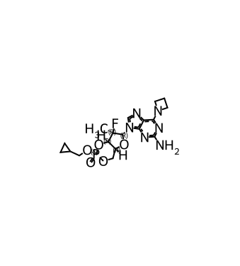 C[C@@]1(F)[C@@H]2O[P@@](=O)(OCC3CC3)OC[C@H]2O[C@H]1n1cnc2c(N3CCC3)nc(N)nc21